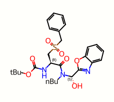 CCCCN(C(=O)[C@H](CS(=O)(=O)Cc1ccccc1)NC(=O)OC(C)(C)C)[C@@H](O)c1nc2ccccc2o1